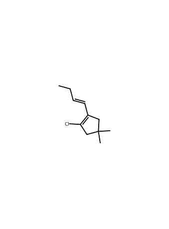 CC/C=C/C1=C(Cl)CC(C)(C)C1